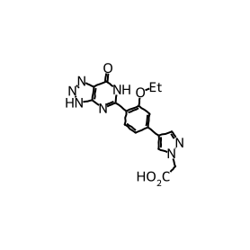 CCOc1cc(-c2cnn(CC(=O)O)c2)ccc1-c1nc2[nH]nnc2c(=O)[nH]1